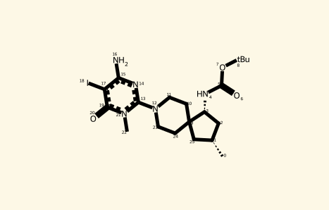 C[C@H]1C[C@@H](NC(=O)OC(C)(C)C)C2(CCN(c3nc(N)c(I)c(=O)n3C)CC2)C1